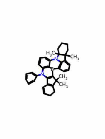 CC1(C)C2=C(C=CCC2)C2=C1B1c3cccc4c3N(c3cccc(c31)N2c1ccccc1)C1(C)CCCCC41C